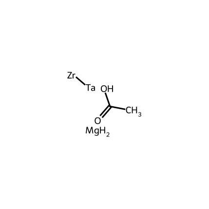 CC(=O)O.[MgH2].[Zr][Ta]